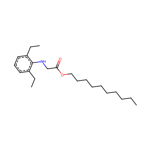 CCCCCCCCCCOC(=O)CNc1c(CC)cccc1CC